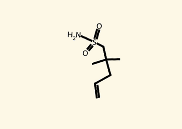 C=CCC(C)(C)CS(N)(=O)=O